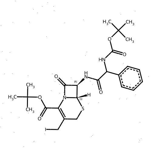 CC(C)(C)OC(=O)NC(C(=O)N[C@@H]1C(=O)N2C(C(=O)OC(C)(C)C)=C(CI)CS[C@@H]12)c1ccccc1